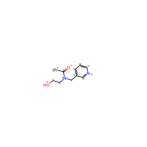 CC(C)C(=O)N(CCO)Cc1cccnc1